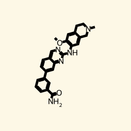 COc1cc2c(cc1Nc1ncc3ccc(-c4cccc(C(N)=O)c4)cc3n1)CN(C)CC2